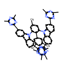 Cc1nc(C)nc(-c2ccc3c4ccc(-c5nc(C)nc(C)n5)cc4n(-c4cc(C#N)cc(-n5c6cc(-c7nc(C)nc(C)n7)ccc6c6ccc(-c7nc(C)nc(C)n7)cc65)c4-c4cc(C#N)cc(C#N)c4)c3c2)n1